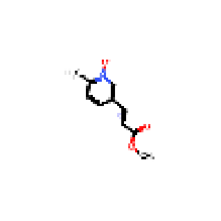 COC(=O)/C=C/c1ccc(C)[n+]([O-])c1